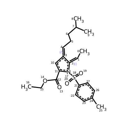 C/C=c1\c(=C/CCC(C)C)cc(C(=O)OCC)n1S(=O)(=O)c1ccc(C)cc1